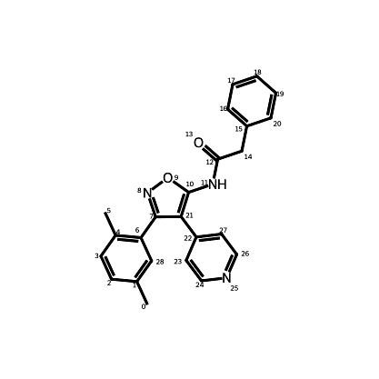 Cc1ccc(C)c(-c2noc(NC(=O)Cc3ccccc3)c2-c2ccncc2)c1